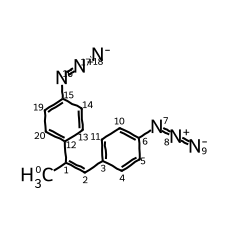 CC(=Cc1ccc(N=[N+]=[N-])cc1)c1ccc(N=[N+]=[N-])cc1